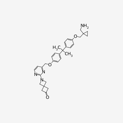 CC(C)(c1ccc(OCc2ccnc(N3CC4(CC(=O)C4)C3)n2)cc1)c1ccc(OCC2(CN)CC2)cc1